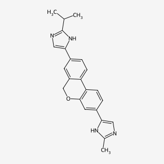 Cc1ncc(-c2ccc3c(c2)OCc2cc(-c4cnc(C(C)C)[nH]4)ccc2-3)[nH]1